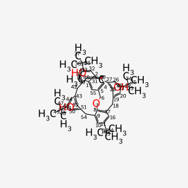 Cc1cccc(COc2c3cc(C(C)(C)C)cc2Cc2cc(C(C)(C)C)cc(c2O)Cc2cc(C(C)(C)C)cc(c2O)Cc2cc(C(C)(C)C)cc(c2O)C3)c1